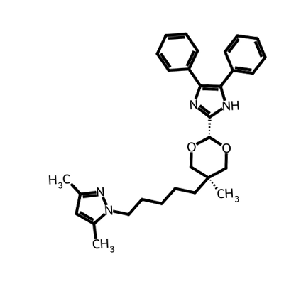 Cc1cc(C)n(CCCCC[C@]2(C)CO[C@@H](c3nc(-c4ccccc4)c(-c4ccccc4)[nH]3)OC2)n1